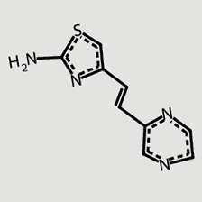 Nc1nc(C=Cc2cnccn2)cs1